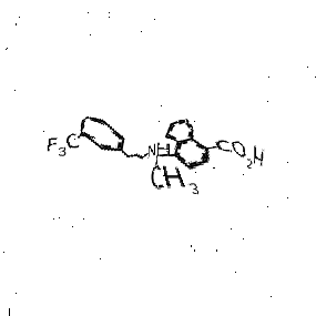 C[C@@H](NCCCc1cccc(C(F)(F)F)c1)c1ccc(C(=O)O)c2ccccc12